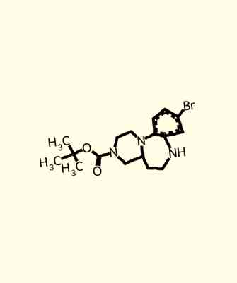 CC(C)(C)OC(=O)N1CCN2c3ccc(Br)cc3NCCC2C1